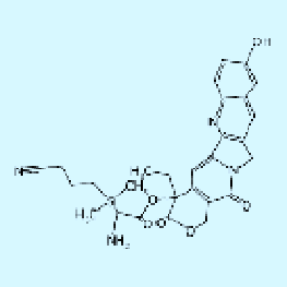 CCC1(OC(=O)C(N)[Si](C)(C)CCCC#N)C(=O)OCc2c1cc1n(c2=O)Cc2cc3cc(O)ccc3nc2-1